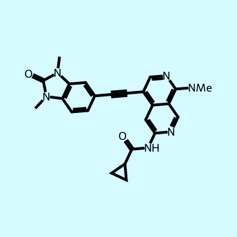 CNc1ncc(C#Cc2ccc3c(c2)n(C)c(=O)n3C)c2cc(NC(=O)C3CC3)ncc12